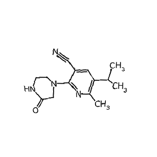 Cc1nc(N2CCNC(=O)C2)c(C#N)cc1C(C)C